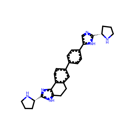 c1cc(-c2cnc([C@@H]3CCCN3)[nH]2)ccc1-c1ccc2c(c1)CCc1[nH]c([C@@H]3CCCN3)nc1-2